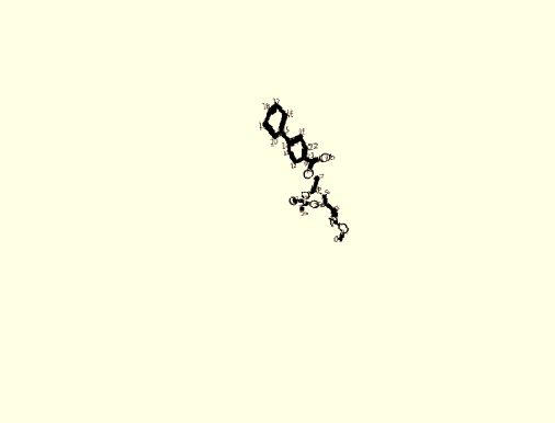 CON=CCC[C@@H](COC(=O)c1ccc(-c2ccccc2)cc1)OS(C)(=O)=O